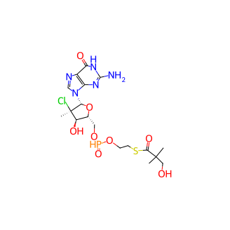 CC(C)(CO)C(=O)SCCO[PH](=O)OC[C@H]1O[C@@H](n2cnc3c(=O)[nH]c(N)nc32)[C@](C)(Cl)[C@@H]1O